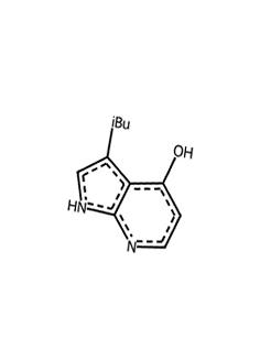 CCC(C)c1c[nH]c2nccc(O)c12